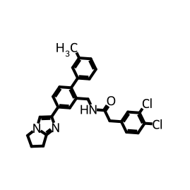 Cc1cccc(-c2ccc(-c3cn4c(n3)CCC4)cc2CNC(=O)Cc2ccc(Cl)c(Cl)c2)c1